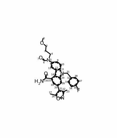 COCCCN(C=O)c1ccc2c(c1)c1c(C(N)=O)cc(-c3c(C)noc3C)cc1n2Cc1ccc(F)cc1